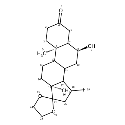 C[C@]12CCC(=O)CC1[C@@H](O)CC1C2CC[C@@]2(C)C1C(F)CC21OCCO1